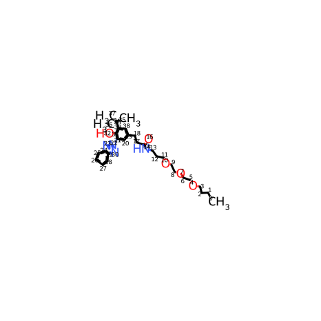 CCCCOCCOCCOCCCNC(=O)CCc1cc(-n2nc3ccccc3n2)c(O)c(C(C)(C)C)c1